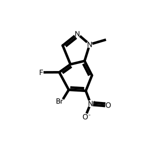 Cn1ncc2c(F)c(Br)c([N+](=O)[O-])cc21